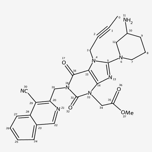 CC#CCn1c(N2CCCC(N)C2)nc2c1c(=O)n(Cc1ncc3ccccc3c1C#N)c(=O)n2CC(=O)OC